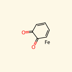 O=C1C=CC=CC1=O.[Fe]